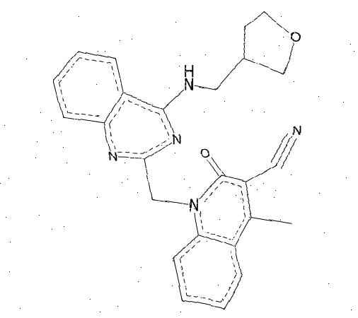 Cc1c(C#N)c(=O)n(Cc2nc(NCC3CCOC3)c3ccccc3n2)c2ccccc12